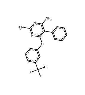 Nc1nc(N)c(-c2ccccc2)c(Oc2ccnc(C(F)(F)F)c2)n1